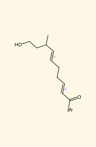 CC(/C=C/CC/C=C/C(=O)C(C)C)CCO